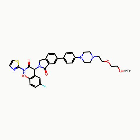 CCCOCCOCCN1CCN(c2ccc(-c3ccc4c(c3)C(=O)N(C(C(=O)Nc3nccs3)c3cc(F)ccc3O)C4)cc2)CC1